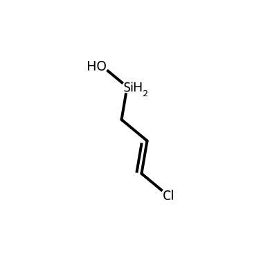 O[SiH2]CC=CCl